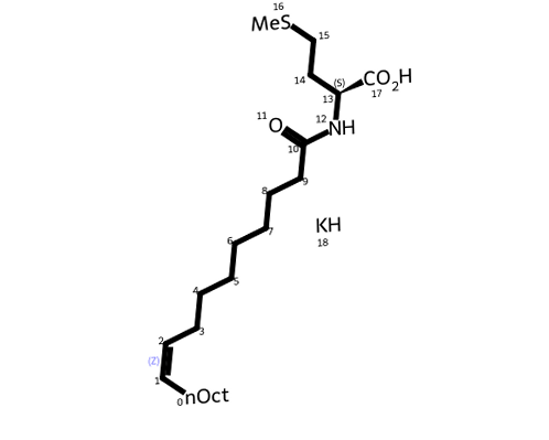 CCCCCCCC/C=C\CCCCCCCC(=O)N[C@@H](CCSC)C(=O)O.[KH]